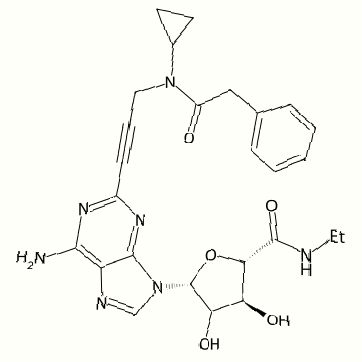 CCNC(=O)[C@H]1O[C@@H](n2cnc3c(N)nc(C#CCN(C(=O)Cc4ccccc4)C4CC4)nc32)C(O)[C@@H]1O